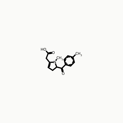 Cc1ccc(C(=O)C2CC=C(CC(=O)O)N2C)cc1